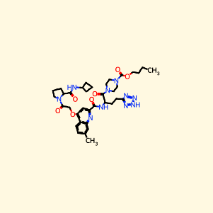 CCCCOC(=O)N1CCN(C(=O)C(CCc2nn[nH]n2)NC(=O)c2cc(OCC(=O)N3CCCC3C(=O)NC3CCC3)c3ccc(C)cc3n2)CC1